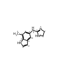 Cc1cc(NC2=NCCN2)cc2cc[nH]c12